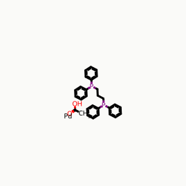 CC(=O)O.[Pd].c1ccc(P(CCCP(c2ccccc2)c2ccccc2)c2ccccc2)cc1